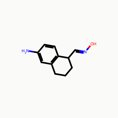 Nc1ccc2c(c1)CCCC2C=NO